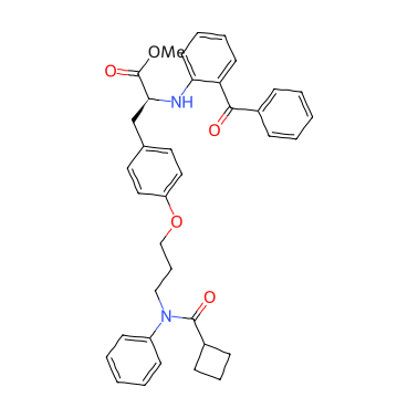 COC(=O)[C@H](Cc1ccc(OCCCN(C(=O)C2CCC2)c2ccccc2)cc1)Nc1ccccc1C(=O)c1ccccc1